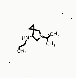 CCCN[C@H]1CN(C(C)C)CC12CC2